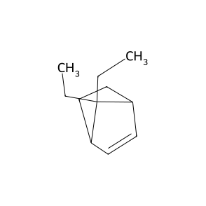 CCC1(CC)C2C=CC1CC2